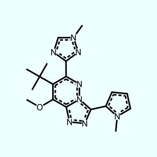 COc1c(C(C)(C)C)c(-c2ncn(C)n2)nn2c(-c3cccn3C)nnc12